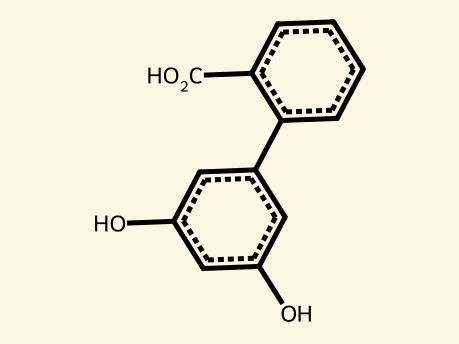 O=C(O)c1ccccc1-c1cc(O)cc(O)c1